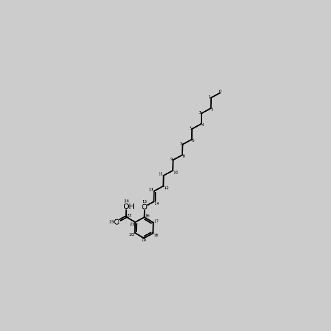 CCCCCCCCCCCCCC=COc1ccccc1C(=O)O